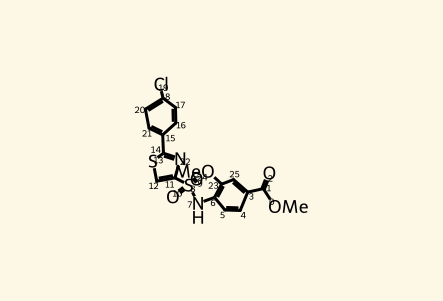 COC(=O)c1ccc(NS(=O)(=O)c2csc(-c3ccc(Cl)cc3)n2)c(OC)c1